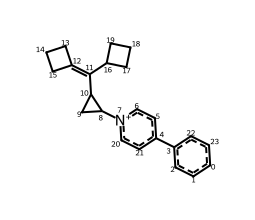 c1ccc(-c2cc[n+](C3CC3C(=C3CCC3)C3CCC3)cc2)cc1